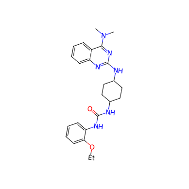 CCOc1ccccc1NC(=O)NC1CCC(Nc2nc(N(C)C)c3ccccc3n2)CC1